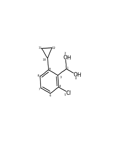 OC(O)c1c(Cl)cccc1C1CC1